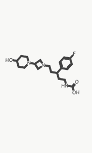 O=C(O)NCCC(CCN1CC(N2CCC(O)CC2)C1)c1ccc(F)cc1